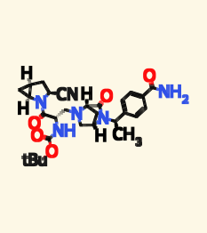 C[C@H](c1ccc(C(N)=O)cc1)N1C(=O)[C@@H]2C[C@H]1CN2C[C@H](NC(=O)OC(C)(C)C)C(=O)N1[C@H](C#N)C[C@@H]2C[C@@H]21